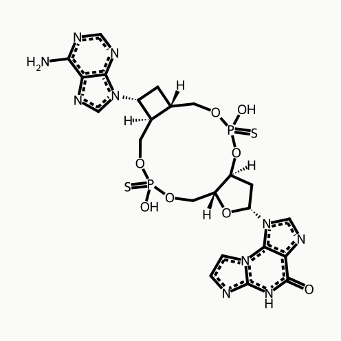 Nc1ncnc2c1ncn2[C@@H]1C[C@@H]2COP(O)(=S)O[C@H]3C[C@H](n4cnc5c(=O)[nH]c6nccn6c54)O[C@@H]3COP(O)(=S)OC[C@H]21